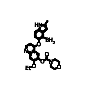 Bc1c(Oc2ccnc3cc(OCC)c(OC(=O)N4CCOCC4)cc23)ccc2[nH]c(C)cc12